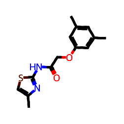 Cc1cc(C)cc(OCC(=O)Nc2nc(C)cs2)c1